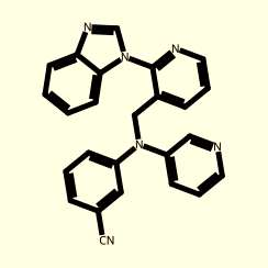 N#Cc1cccc(N(Cc2cccnc2-n2cnc3ccccc32)c2cccnc2)c1